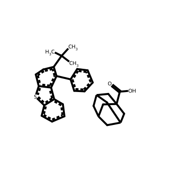 CC(C)(C)c1ccc2sc3ccccc3c2c1-c1ccccc1.O=C(O)C12CC3CC(CC(C3)C1)C2